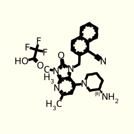 Cc1cc(N2CCC[C@@H](N)C2)c2c(n1)n(C)c(=O)n2Cc1ccc2ccccc2c1C#N.O=C(O)C(F)(F)F